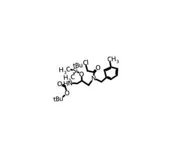 Cc1cccc(CN(CC(CNC(=O)OC(C)(C)C)O[Si](C)(C)C(C)(C)C)C(=O)CCl)c1